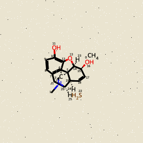 C.CN1CC[C@]23c4c5ccc(O)c4O[C@H]2[C@@H](O)C=C[C@H]3[C@H]1C5.S